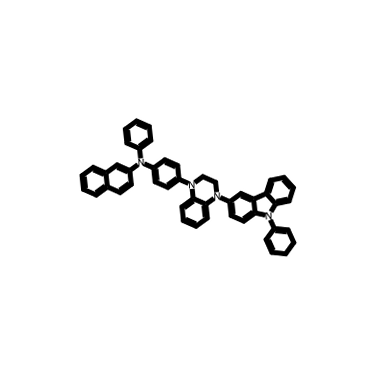 C1=CC(n2c3ccccc3c3cc(N4CCN(c5ccc(N(c6ccccc6)c6ccc7ccccc7c6)cc5)c5ccccc54)ccc32)=CCC1